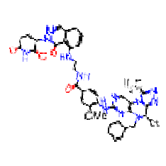 CC[C@@H]1c2nnc(C)n2-c2cnc(Nc3ccc(C(=O)NCCNc4cccc5cnn(C6CCC(=O)NC6=O)c(=O)c45)cc3OC)nc2N1CC1CCCCC1